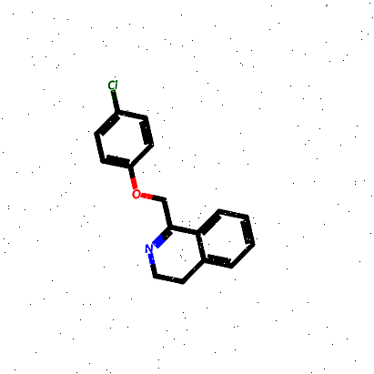 Clc1ccc(OCC2=NCCc3ccccc32)cc1